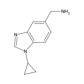 NCc1ccc2c(c1)ncn2C1CC1